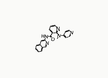 CN(c1ccncc1)c1ncccc1C(=O)Nc1cc2ccccc2cn1